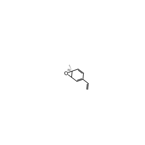 C=CC1=CC2O[C@@]2(C)C=C1